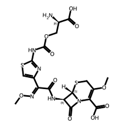 CON=C(C(=O)N[C@@H]1C(=O)N2C(C(=O)O)=C(OC)CS[C@@H]12)c1csc(NC(=O)OC[C@@H](N)C(=O)O)n1